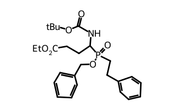 CCOC(=O)CCC(NC(=O)OC(C)(C)C)P(=O)(CCc1ccccc1)OCc1ccccc1